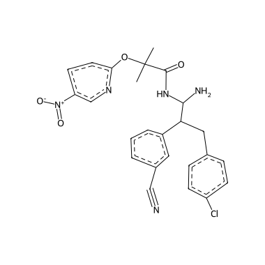 CC(C)(Oc1ccc([N+](=O)[O-])cn1)C(=O)NC(N)C(Cc1ccc(Cl)cc1)c1cccc(C#N)c1